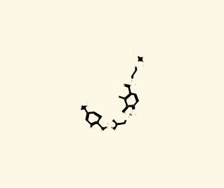 Cc1c(C(=O)NCCSC(F)(F)F)ccc2nn(CC3CN(C(=O)c4ccc(C(F)(F)F)cc4F)C3)cc12